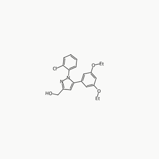 CCOc1cc(OCC)cc(-c2cc(CO)nn2-c2ccccc2Cl)c1